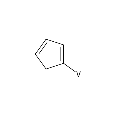 [V][C]1=CC=CC1